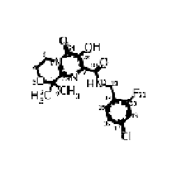 CC1(C)OCCn2c1nc(C(=O)NCc1ccc(Cl)cc1F)c(O)c2=O